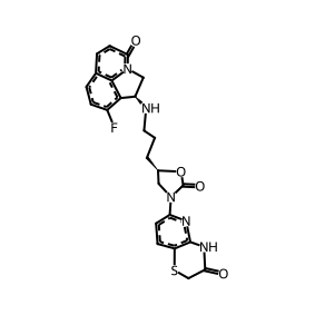 O=C1CSc2ccc(N3C[C@@H](CCCN[C@@H]4Cn5c(=O)ccc6ccc(F)c4c65)OC3=O)nc2N1